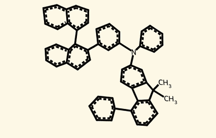 CC1(C)c2cc(N(c3ccccc3)c3cccc(-c4ccc5ccccc5c4-c4cccc5ccccc45)c3)ccc2-c2c(-c3ccccc3)cccc21